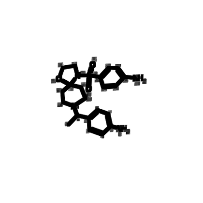 CC(c1ccc(N)cc1)N1CCC2(CC1)OCCN2S(=O)(=O)c1ccc(N)cc1